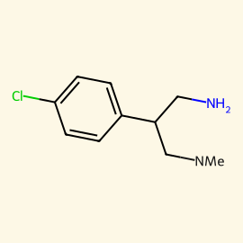 CNCC(CN)c1ccc(Cl)cc1